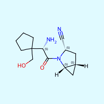 N#C[C@@H]1C[C@@H]2C[C@@H]2N1C(=O)[C@@H](N)C1(CO)CCCC1